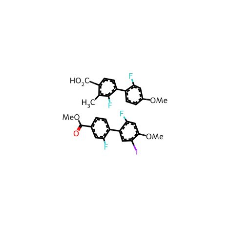 COC(=O)c1ccc(-c2cc(I)c(OC)cc2F)c(F)c1.COc1ccc(-c2ccc(C(=O)O)c(C)c2F)c(F)c1